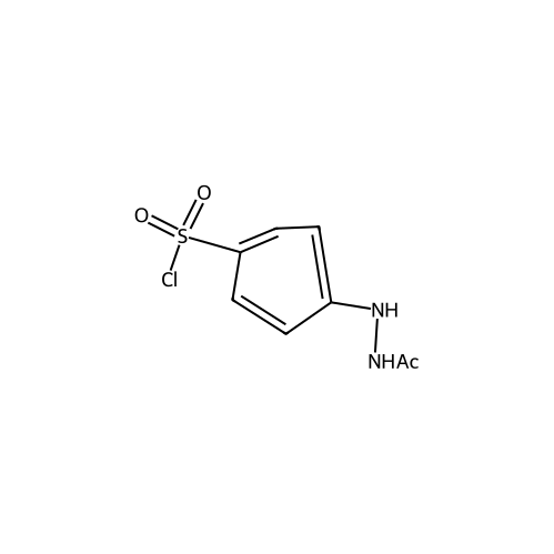 CC(=O)NNc1ccc(S(=O)(=O)Cl)cc1